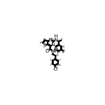 CC(Nc1nc(C(=O)NCCc2ccc(Cl)cc2)c2sccc2n1)c1cncc(F)c1